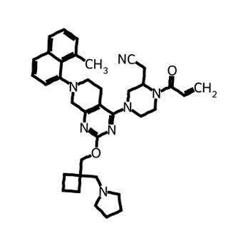 C=CC(=O)N1CCN(c2nc(OCC3(CN4CCCC4)CCC3)nc3c2CCN(c2cccc4cccc(C)c24)C3)CC1CC#N